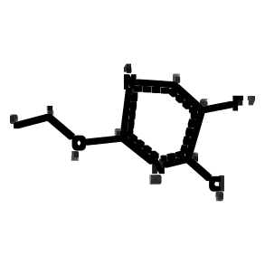 CCOc1ncc(F)c(Cl)n1